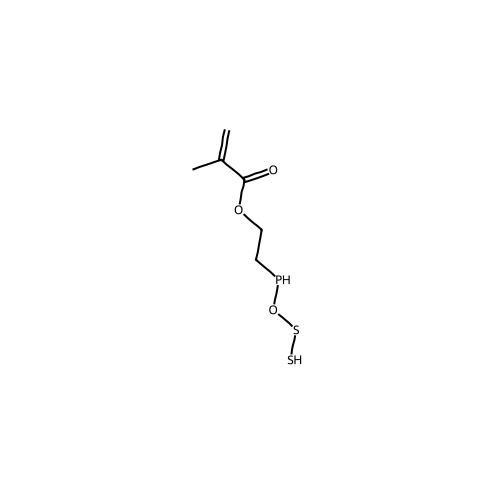 C=C(C)C(=O)OCCPOSS